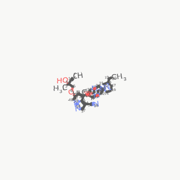 C#CC(C)(O)COc1cc(-c2ccc(N3CC4CC(CC)(C3)N4c3ccc(OC)nc3)nc2)c2c(C#N)cnn2c1